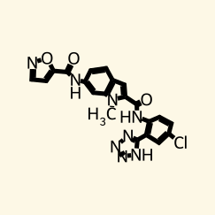 Cn1c(C(=O)Nc2ccc(Cl)cc2-c2nnn[nH]2)cc2ccc(NC(=O)c3ccno3)cc21